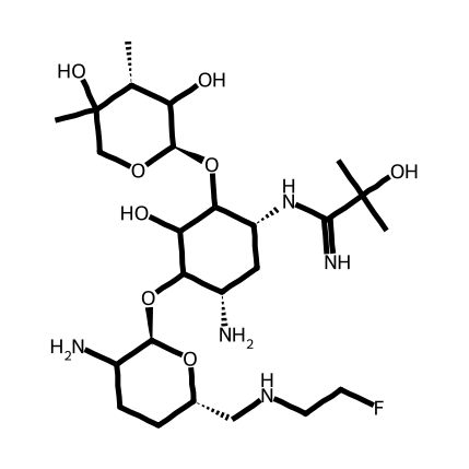 C[C@@H]1C(O)[C@@H](OC2C(O)C(O[C@H]3O[C@H](CNCCF)CCC3N)[C@@H](N)C[C@H]2NC(=N)C(C)(C)O)OCC1(C)O